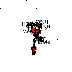 COC(=O)N[C@H](C(=O)N[C@@H](Cc1ccc(C#Cc2cnc(N3CC4CCC(C3)N4C3COC3)nc2)cc1)[C@H](CN(Cc1c(F)cc(-c2ccn(C(F)F)n2)cc1F)NC(=O)[C@@H](NC(=O)OC)C(C)(C)C(F)(F)F)OC(=O)OCOC(=O)CC(C)(C)c1c(CC(=O)N[C@@H](CCC(=O)O)C(=O)O)cc(C)cc1OP(=O)(O)O)C(C)(C)C(F)(F)F